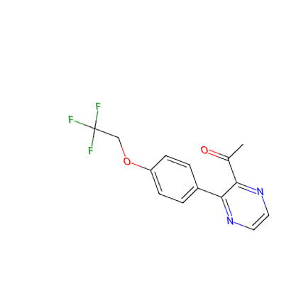 CC(=O)c1nccnc1-c1ccc(OCC(F)(F)F)cc1